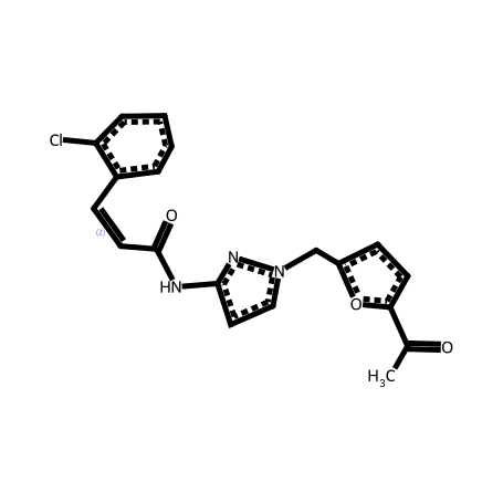 CC(=O)c1ccc(Cn2ccc(NC(=O)/C=C\c3ccccc3Cl)n2)o1